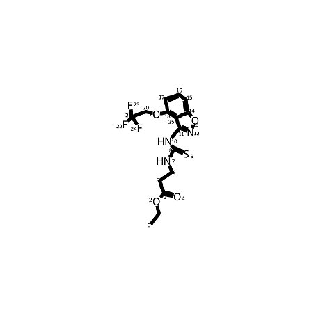 CCOC(=O)CCNC(=S)Nc1noc2cccc(OCC(F)(F)F)c12